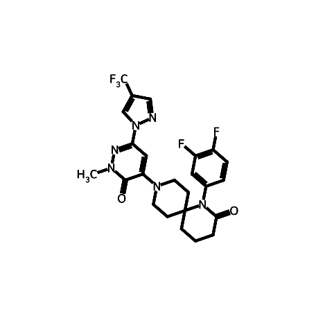 Cn1nc(-n2cc(C(F)(F)F)cn2)cc(N2CCC3(CCCC(=O)N3c3ccc(F)c(F)c3)CC2)c1=O